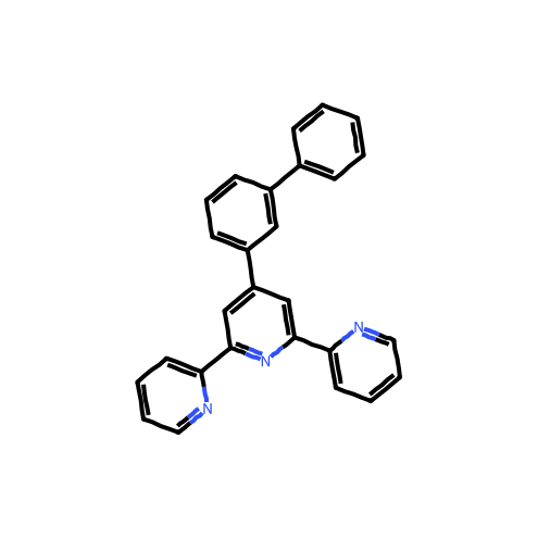 c1ccc(-c2cccc(-c3cc(-c4ccccn4)nc(-c4ccccn4)c3)c2)cc1